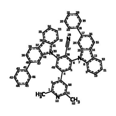 Cc1cc(-c2cc(-n3c4ccccc4c4ccc(-c5ccccc5)cc43)c(C#N)c(-n3c4ccccc4c4ccc(-c5ccccc5)cc43)c2)cc(C)n1